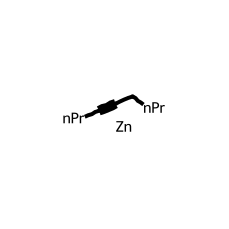 CCCC#CCCCC.[Zn]